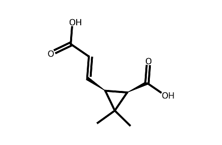 CC1(C)[C@H](C(=O)O)[C@@H]1C=CC(=O)O